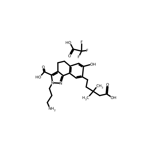 CC(C)(CCc1cc2c(cc1O)CCc1c-2nn(CCCN)c1C(=O)O)CC(=O)O.O=C(O)C(F)(F)F